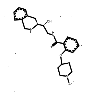 CC(=O)N1CCC(Oc2ccccc2C(=O)NC[C@@H](O)[C@@H]2Cc3ccccc3CN2)CC1